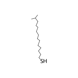 CC(C)CCCCCCCCCCCCS